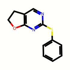 c1ccc(Sc2ncc3c(n2)OCC3)cc1